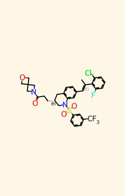 C/C(=C\c1ccc2c(c1)N(S(=O)(=O)c1cccc(C(F)(F)F)c1)C[C@H](CCC(=O)N1CC3(COC3)C1)C2)c1c(F)cccc1Cl